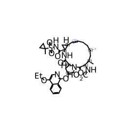 CCOc1cnc(O[C@@H]2C[C@H]3C(=O)N[C@]4(C(=O)NS(=O)(=O)C5(C)CC5)C[C@H]4/C=C\CC[C@H](C)C[C@@H](C)[C@H](NC(=O)O)C(=O)N3C2)c2ccccc12